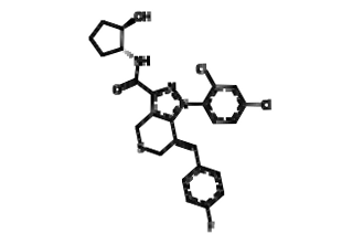 O=C(N[C@@H]1CCC[C@H]1O)c1nn(-c2ccc(Cl)cc2Cl)c2c1CSC/C2=C\c1ccc(F)cc1